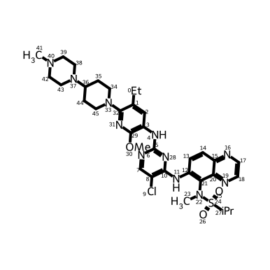 CCc1cc(Nc2ncc(Cl)c(Nc3ccc4nccnc4c3N(C)S(=O)(=O)C(C)C)n2)c(OC)nc1N1CCC(N2CCN(C)CC2)CC1